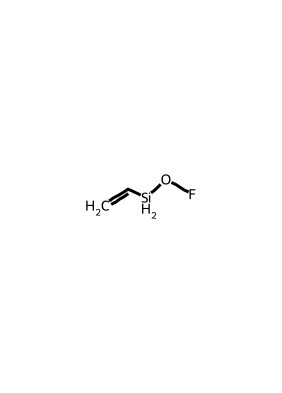 C=C[SiH2]OF